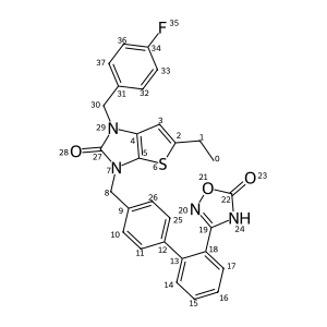 CCc1cc2c(s1)n(Cc1ccc(-c3ccccc3-c3noc(=O)[nH]3)cc1)c(=O)n2Cc1ccc(F)cc1